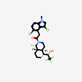 C[C@H]1[C@H]2CCC[C@@H]([C@H](O)C(F)(F)F)[C@@H]2CCN1C(=O)Cc1c(Cl)ccc2c1c(Cl)cn2C